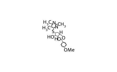 COc1ccc(C2OC[C@@H]3C[C@@H](Sc4nc(C)nc(C)c4C)[C@H](O)[C@@H]3O2)cc1